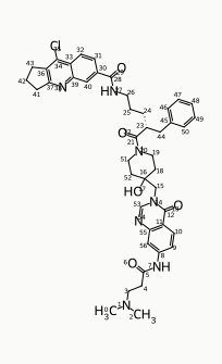 CN(C)CCC(=O)Nc1ccc2c(=O)n(CC3(O)CCN(C(=O)[C@H](CCCNC(=O)c4ccc5c(Cl)c6c(nc5c4)CCC6)Cc4ccccc4)CC3)cnc2c1